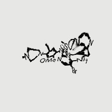 COc1cc(N2CCN(C)CC2)c(C)cc1Nc1ncc(Br)c(Nc2ccc3nccnc3c2NS(C)(=O)=O)n1